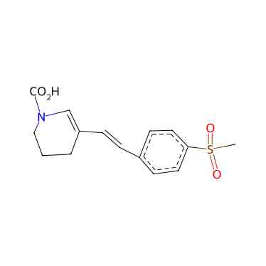 CS(=O)(=O)c1ccc(C=CC2=CN(C(=O)O)CCC2)cc1